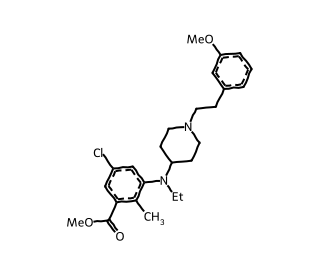 CCN(c1cc(Cl)cc(C(=O)OC)c1C)C1CCN(CCc2cccc(OC)c2)CC1